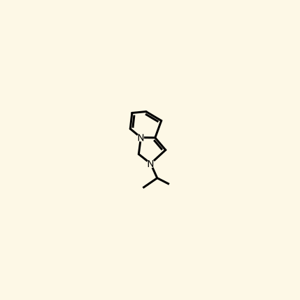 CC(C)N1C=C2C=CC=CN2C1